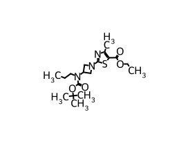 CCCN(C(=O)OC(C)(C)C)C1CN(c2nc(C)c(C(=O)OCC)s2)C1